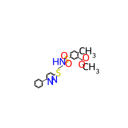 COC(=O)c1cc(S(=O)(=O)NCCSc2ccc(-c3ccccc3)nn2)ccc1C